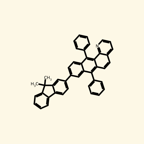 CC1(C)c2ccccc2-c2ccc(-c3ccc4c(-c5ccccc5)c5c(ccc6cccnc65)c(-c5ccccc5)c4c3)cc21